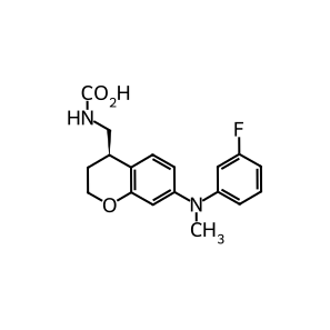 CN(c1cccc(F)c1)c1ccc2c(c1)OCC[C@H]2CNC(=O)O